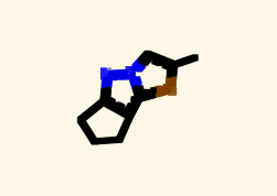 Cc1cn2nc3c(c2s1)CCC3